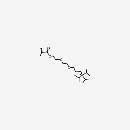 C=C(C)C(=O)OCCOCCOCCC[Si](C(C)C)(C(C)C)C(C)C